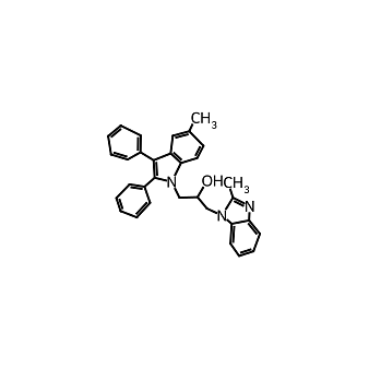 Cc1ccc2c(c1)c(-c1ccccc1)c(-c1ccccc1)n2CC(O)Cn1c(C)nc2ccccc21